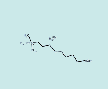 Br.CCCCCCCCCCCCCCC[CH2][Ag]([CH3])([CH3])[CH3].N